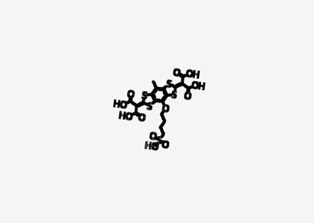 Cc1c2c(c(OCCCCS(=O)(=O)O)c3c1SC(=C(C(=O)O)C(=O)O)S3)SC(=C(C(=O)O)C(=O)O)S2